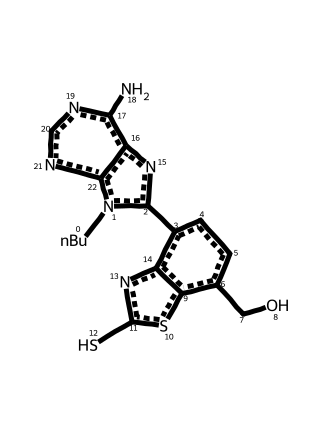 CCCCn1c(-c2ccc(CO)c3sc(S)nc23)nc2c(N)ncnc21